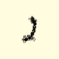 CC1(C)[C@H](NC(=O)c2ccc(N3CCN(CC4(F)CCN(c5ccc6c(c5)C(=O)N(C5CCC(=O)NC5=O)C6=O)CC4)CC3)cc2)C(C)(C)[C@H]1Oc1ccc(C#N)c(Cl)c1